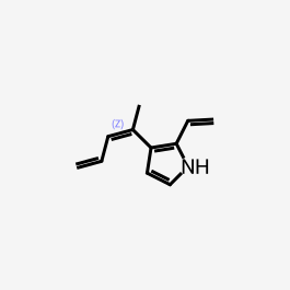 C=C/C=C(/C)c1cc[nH]c1C=C